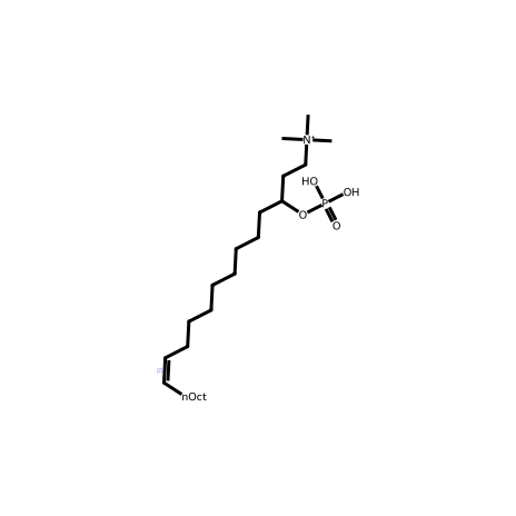 CCCCCCCC/C=C\CCCCCCCCC(CC[N+](C)(C)C)OP(=O)(O)O